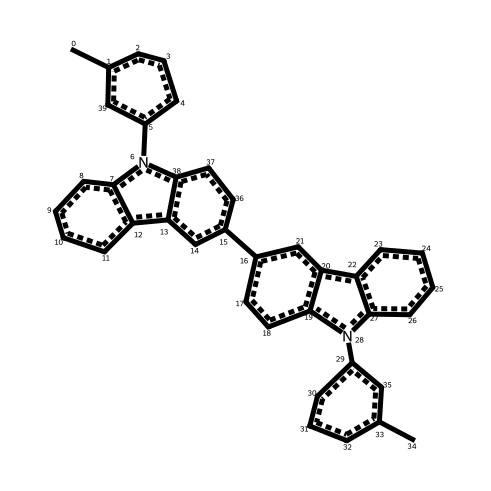 Cc1cccc(-n2c3ccccc3c3cc(-c4ccc5c(c4)c4ccccc4n5-c4cccc(C)c4)ccc32)c1